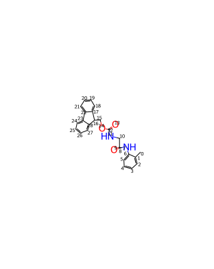 Cc1ccccc1NC(=O)CNC(=O)OCC1c2ccccc2-c2ccccc21